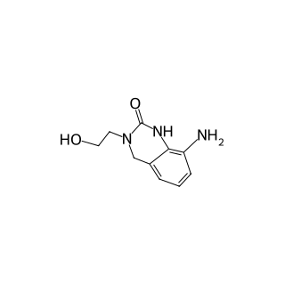 Nc1cccc2c1NC(=O)N(CCO)C2